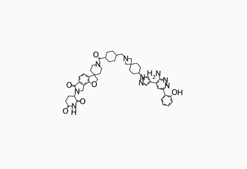 Nc1nnc(-c2ccccc2O)cc1-c1cnn(C2CCC3(CC2)CN(CC2CCC(C(=O)N4CCC5(CC4)COc4c5ccc5c4CN(C4CCC(=O)NC4=O)C5=O)CC2)C3)c1